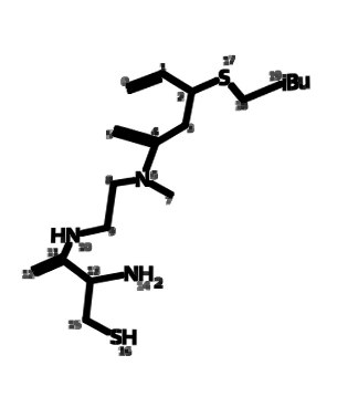 C=CC(CC(=C)N(C)CCNC(=C)C(N)CS)SCC(C)CC